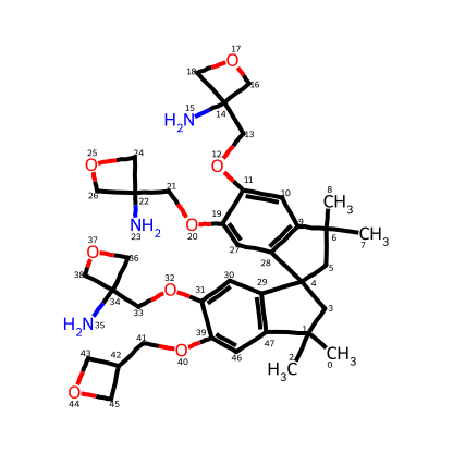 CC1(C)CC2(CC(C)(C)c3cc(OCC4(N)COC4)c(OCC4(N)COC4)cc32)c2cc(OCC3(N)COC3)c(OCC3COC3)cc21